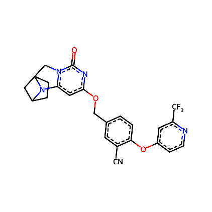 N#Cc1cc(COc2cc3n(c(=O)n2)CC24CCC(C2)N34)ccc1Oc1ccnc(C(F)(F)F)c1